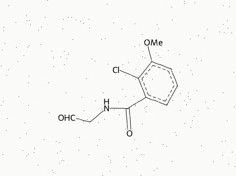 COc1cccc(C(=O)NCC=O)c1Cl